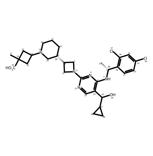 C[C@@H](Nc1nc(N2CC([C@H]3CCCN(C4CC(C)(C(=O)O)C4)C3)C2)ncc1C(O)C1CC1)c1ccc(Cl)cc1Cl